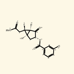 COC(=O)C[C@@]1(F)[C@@H]2C[C@@H](OC(=O)c3cccc(Cl)c3)C(=O)[C@@H]21